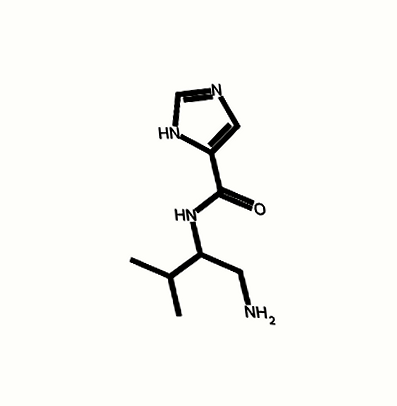 CC(C)C(CN)NC(=O)c1cnc[nH]1